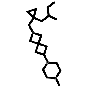 CCC(C)CC1(CN2CC3(CC(N4CCN(C)CC4)C3)C2)CC1